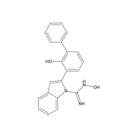 N=C(NO)n1c(-c2cccc(-c3ccccc3)c2O)cc2ccccc21